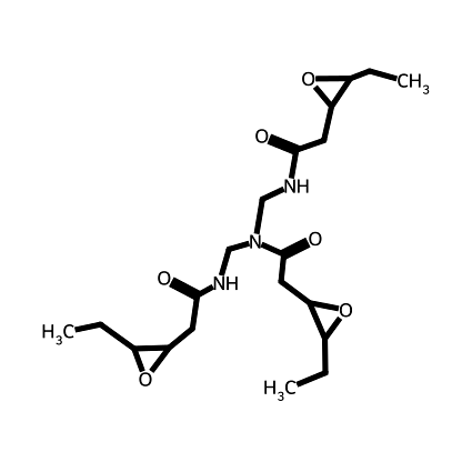 CCC1OC1CC(=O)NCN(CNC(=O)CC1OC1CC)C(=O)CC1OC1CC